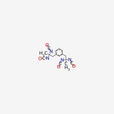 CC(Cc1cccc(CC(C)(N=C=O)N=C=O)c1)(N=C=O)N=C=O